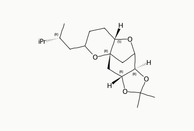 CC(C)[C@H](C)CC1CC[C@@H]2OC3C[C@]2(C[C@H]2OC(C)(C)O[C@H]32)O1